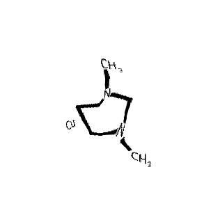 CN1CCN(C)C1.[Cu]